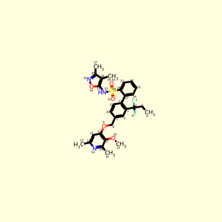 CCC(F)(F)c1cc(COc2cc(C)nc(C)c2OC)ccc1-c1ccccc1S(=O)(=O)Nc1onc(C)c1C